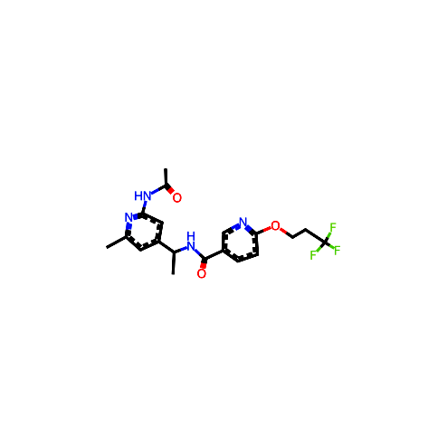 CC(=O)Nc1cc(C(C)NC(=O)c2ccc(OCCC(F)(F)F)nc2)cc(C)n1